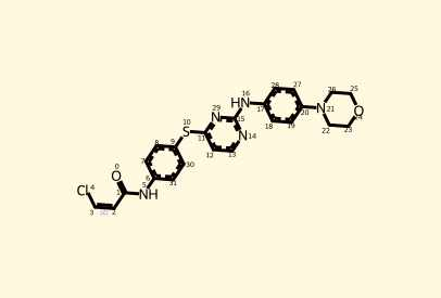 O=C(/C=C\Cl)Nc1ccc(Sc2ccnc(Nc3ccc(N4CCOCC4)cc3)n2)cc1